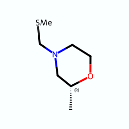 CSCN1CCO[C@H](C)C1